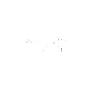 CCCCCCCCCCCC(=O)OCC(CO)OS(=O)(=O)O